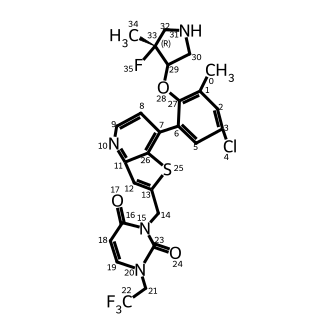 Cc1cc(Cl)cc(-c2ccnc3cc(Cn4c(=O)ccn(CC(F)(F)F)c4=O)sc23)c1OC1CNC[C@@]1(C)F